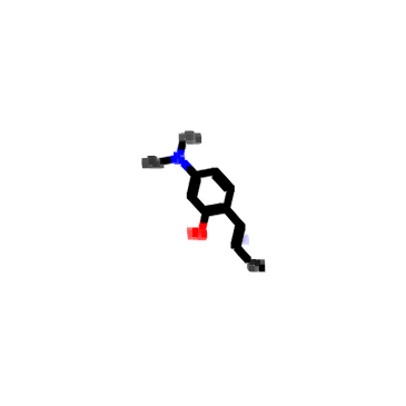 CCCCN(CCCC)c1ccc(/C=C/C#N)c(O)c1